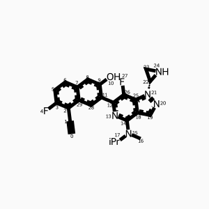 C#Cc1c(F)ccc2cc(O)c(-c3nc(N(C)C(C)C)c4cnn([C@@H]5CN5)c4c3F)cc12